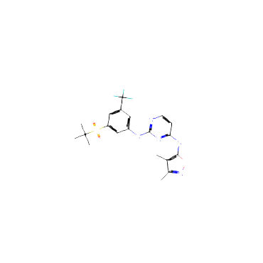 Cc1noc(Nc2ccnc(Nc3cc(C(F)(F)F)cc(S(=O)(=O)C(C)(C)C)c3)n2)c1C